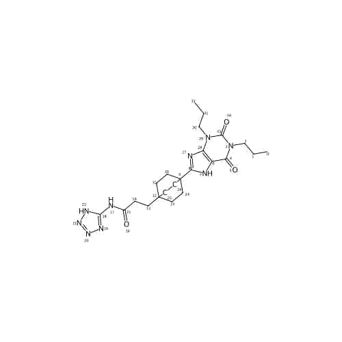 CCCn1c(=O)c2[nH]c(C34CCC(CCC(=O)Nc5nnn[nH]5)(CC3)CC4)nc2n(CCC)c1=O